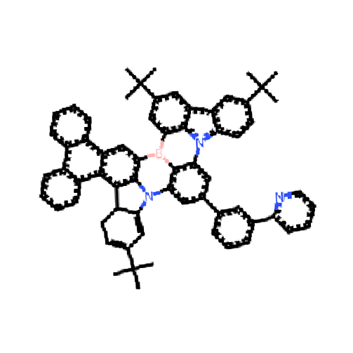 CC(C)(C)C1=CCC2C(=C1)N1c3cc(-c4cccc(-c5ccccn5)c4)cc4c3B(c3cc5c6ccccc6c6ccccc6c5c2c31)c1cc(C(C)(C)C)cc2c3cc(C(C)(C)C)ccc3n-4c12